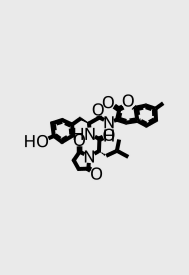 Cc1ccc2cc(NC(=O)[C@H](Cc3ccc(O)cc3)NC(=O)[C@H](CC(C)C)N3C(=O)CCC3=O)c(=O)oc2c1